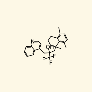 Cc1ccc(C)c2c1CCCC2(C)CC(O)(Cc1ccnc2ccccc12)C(F)(F)F